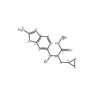 CCN(c1ccc2nc(C)sc2c1)N(CC1CC1)C(=O)OC(C)(C)C